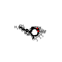 C=CC[C@@H]1/C=C(\C)C[C@H](C)C[C@H](OC)[C@H]2O[C@@](O)(C(=O)C(=O)N3CCCC[C@H]3C(=O)O[C@H](/C(C)=C/[C@H]3CC[C@H](OCC(=O)OCC[Si](C)(C)C)CC3)[C@H](C)[C@@H](O)CC1=O)[C@H](C)C[C@@H]2OC